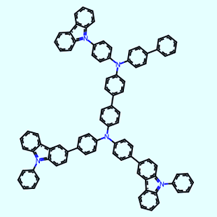 c1ccc(-c2ccc(N(c3ccc(-c4ccc(N(c5ccc(-c6ccc7c(c6)c6ccccc6n7-c6ccccc6)cc5)c5ccc(-c6ccc7c(c6)c6ccccc6n7-c6ccccc6)cc5)cc4)cc3)c3ccc(-n4c5ccccc5c5ccccc54)cc3)cc2)cc1